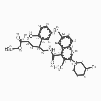 Cc1c(N2CCCC(F)C2)nc2ccc(Br)cc2c1C(=O)NCC(CCC(=O)OC(C)(C)C)c1ccccc1C(F)(F)F